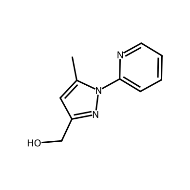 Cc1cc(CO)nn1-c1ccccn1